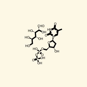 Cc1cn([C@H]2C[C@H](O)[C@@H](COP(=O)(O)OP(=O)(O)O)O2)c(=O)[nH]c1=O.O=C[C@H](O)[C@@H](O)[C@H](O)[C@H](O)CO